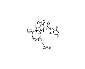 COCCO/C1=N/OCC[C@H](C)N2C[C@H](C1)n1cc(C(=O)NCc3c(F)cc(F)cc3F)c(=O)c(O)c1C2=O